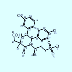 CCC(CCS(=O)(=O)CC)N1C(=O)C(C)(CC(=O)O)CC(c2cccc(Cl)c2)C1c1ccc(Cl)cc1